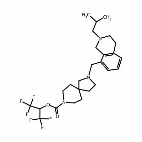 CC(C)CN1CCc2cccc(CN3CCC4(CCN(C(=O)OC(C(F)(F)F)C(F)(F)F)CC4)C3)c2C1